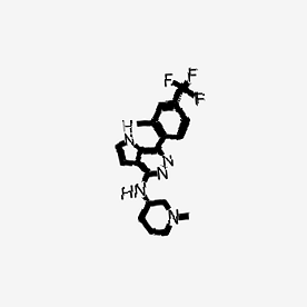 Cc1cc(C(F)(F)F)ccc1-c1nnc(N[C@@H]2CCCN(C)C2)c2cc[nH]c12